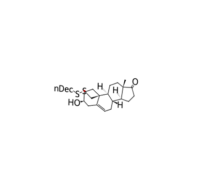 CCCCCCCCCCSSC[C@]12CC[C@H](O)CC1=CC[C@@H]1[C@@H]2CC[C@]2(C)C(=O)CC[C@@H]12